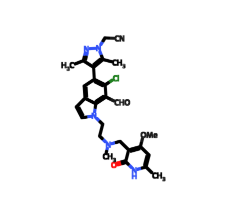 COc1cc(C)[nH]c(=O)c1CN(C)CCn1ccc2cc(-c3c(C)nn(CC#N)c3C)c(Cl)c(C=O)c21